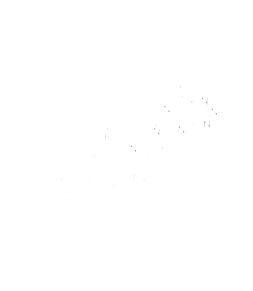 Cn1nnc2c(=O)[nH]c(N3CCN(c4c(F)cc(OCc5ccccc5)cc4F)CC3)nc21